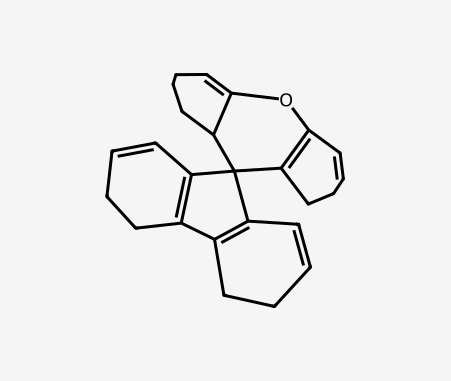 C1=CC2=C(CC1)C1=C(C=CCC1)C21C2=C(C=CCC2)OC2=CCCCC21